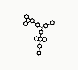 c1ccc(-c2ccc(-c3c4c(c(-c5ccc(N(c6ccc(-c7ccccc7)cc6)c6ccc(-c7ccc8c9ccccc9c9ccccc9c8c7)cc6)cc5)c5c3CCCC5)CCCC4)cc2)cc1